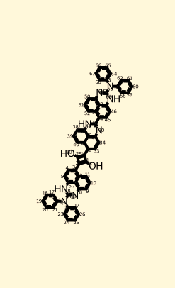 OC1=C(c2ccc3c4c(cccc24)N=C(N(c2ccccc2)c2ccccc2)N3)C(O)=C1C1C=CC2=C3C(=CC=CC31)NC(c1ccc3c4c(cccc14)N=C(N(c1ccccc1)c1ccccc1)N3)=N2